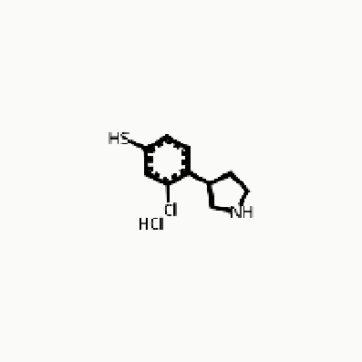 Cl.Sc1ccc(C2CCNC2)c(Cl)c1